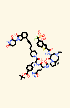 CCN1CC[C@H]2CC[C@@H](C(=O)N[C@@H](CCC(N)=O)C(=O)N[C@@H](Cc3ccc(C(=O)OC(C)(C)C)cc3)C(=O)N3CCC(CCC#Cc4cccc5c4CN(C4CCC(=O)NC4=O)C5=O)CC3)N2C(=O)[C@@H](NC(=O)c2cc3cc(C(F)(F)P(=O)(O)O)ccc3s2)C1